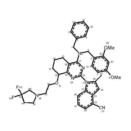 COc1ccc(CN(Cc2ccccc2)c2nc(-n3c(C)cc4c(C#N)cccc43)nc3c2CCCC3OCCN2CCC(F)(F)C2)c(OC)c1